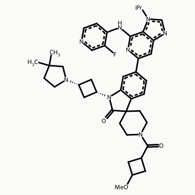 COC1CC(C(=O)N2CCC3(CC2)C(=O)N([C@H]2C[C@@H](N4CCC(C)(C)C4)C2)c2cc(-c4cc5ncn(C(C)C)c5c(Nc5ccncc5F)n4)ccc23)C1